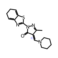 CC1=NN(c2nc3c(s2)=CCCC=3)C(=O)/C1=C/N1CCCCC1